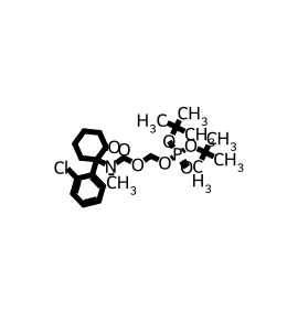 CN(C(=O)OCOP(=O)(OC(C)(C)C)OC(C)(C)C)C1(c2ccccc2Cl)CCCCC1=O